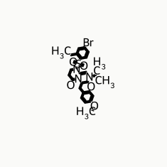 CCc1cc(Br)ccc1S(=O)(=O)N1CCC(=O)N2C1=CN(C(C)C)C(=O)C2Cc1ccc(OC)cc1